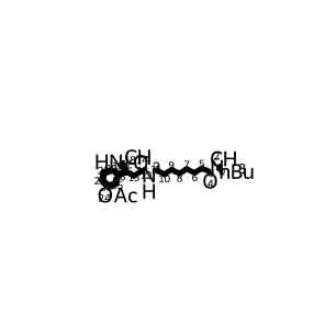 CCCCN(C)C(=O)CCCCCCCNC(=O)Cc1c(C)[nH]c2ccc(OC(C)=O)cc12